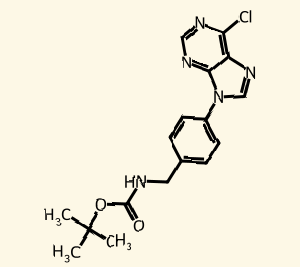 CC(C)(C)OC(=O)NCc1ccc(-n2cnc3c(Cl)ncnc32)cc1